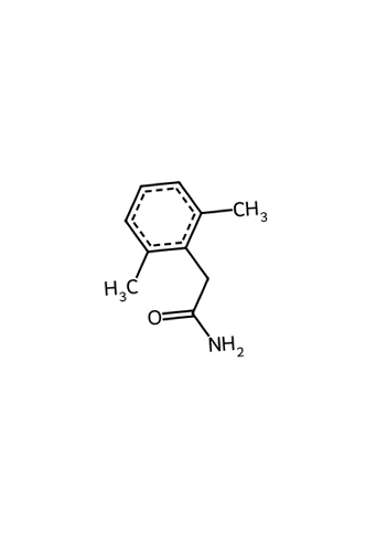 Cc1cccc(C)c1CC(N)=O